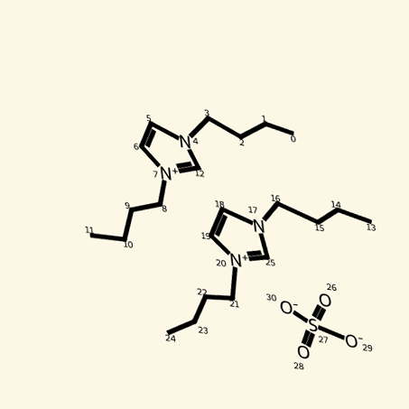 CCCCn1cc[n+](CCCC)c1.CCCCn1cc[n+](CCCC)c1.O=S(=O)([O-])[O-]